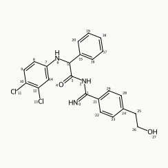 N=C(NC(=O)C(Nc1ccc(Cl)c(Cl)c1)c1ccccc1)c1ccc(CCO)cc1